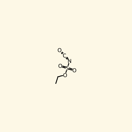 CCOS(=O)(=O)N=C=O